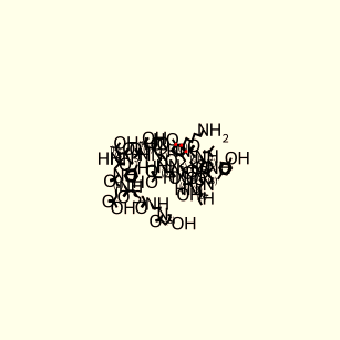 CC[C@H](C)[C@H](NC(=O)[C@H](CO)NC(=O)[C@H](Cc1ccc(O)cc1)NC(=O)[C@H](CC(=O)O)NC(=O)[C@H](CO)NC(=O)[C@@H](NC(=O)[C@H](Cc1ccccc1)NC(=O)[C@@H](NC(=O)CNC(=O)[C@H](CCC(=O)O)NC(=O)CSCC(=O)NCCN1C[C@@H](O)CC1=O)[C@@H](C)O)[C@@H](C)O)C(=O)N[C@@H](Cc1ccc(O)cc1)C(=O)N[C@@H](CC(C)C)C(=O)N[C@@H](CC(=O)O)C(=O)N[C@H](C)CCCCN